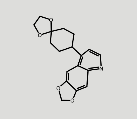 c1cc(C2CCC3(CC2)OCCO3)c2cc3c(cc2n1)OCO3